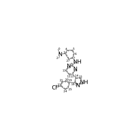 CN(C)c1cccc(Nc2nccc(-c3c[nH]nc3-c3ccc(Cl)cc3)n2)c1